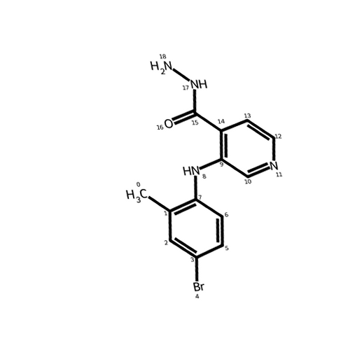 Cc1cc(Br)ccc1Nc1cnccc1C(=O)NN